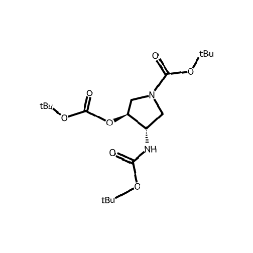 CC(C)(C)OC(=O)N[C@H]1CN(C(=O)OC(C)(C)C)C[C@@H]1OC(=O)OC(C)(C)C